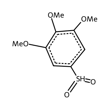 COc1cc([SH](=O)=O)cc(OC)c1OC